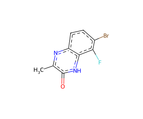 Cc1nc2ccc(Br)c(F)c2[nH]c1=O